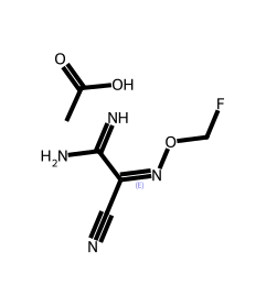 CC(=O)O.N#C/C(=N/OCF)C(=N)N